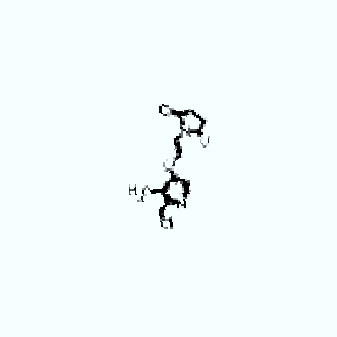 Cc1c(OCCN2C(=O)CCC2=O)ccnc1CCl